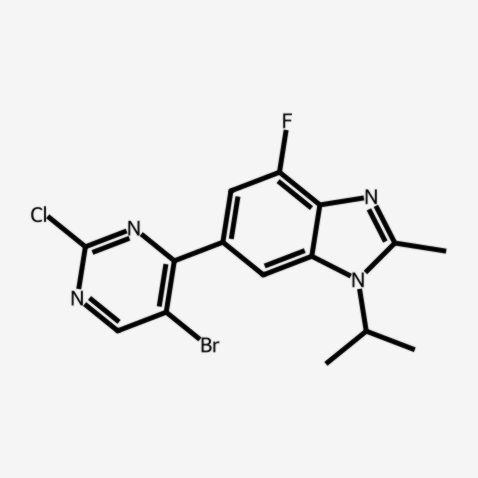 Cc1nc2c(F)cc(-c3nc(Cl)ncc3Br)cc2n1C(C)C